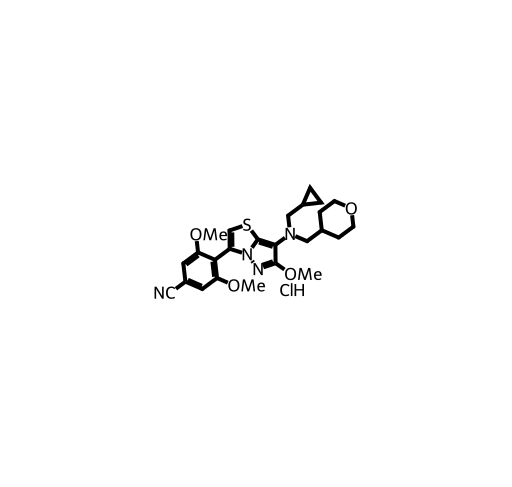 COc1cc(C#N)cc(OC)c1-c1csc2c(N(CC3CCOCC3)CC3CC3)c(OC)nn12.Cl